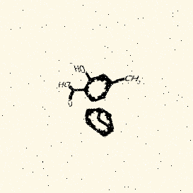 Cc1ccc(C(=O)O)c(O)c1.c1cc2cc(c1)C2